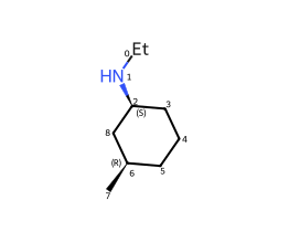 CCN[C@H]1CCC[C@@H](C)C1